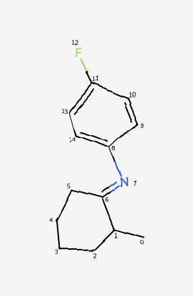 CC1CCCC/C1=N\c1ccc(F)cc1